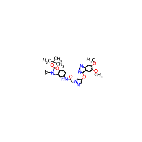 COc1cc2ncnc(Oc3cnn(CC(=O)Nc4cccc(CN(C(=O)OC(C)(C)C)C5CC5)c4)c3)c2cc1OC